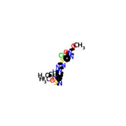 COCCn1cnc2ccc(Sc3cnc(N4CCC5(CC4)Cc4ncsc4[C@H]5N[S@@+]([O-])C(C)(C)C)cn3)c(Cl)c2c1=O